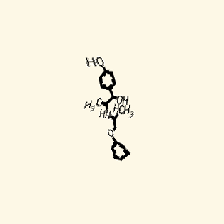 CC(COc1ccccc1)NC(C)C(O)c1ccc(O)cc1.Cl